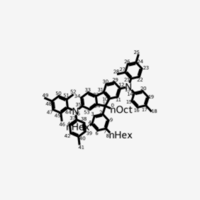 CCCCCCCCC1(c2cc(CCCCCC)cc(CCCCCC)c2)c2cc(N(c3ccc(C)cc3)c3ccc(C)cc3C)ccc2-c2ccc(N(c3ccc(C)cc3)c3c(C)cc(C)cc3C)cc21